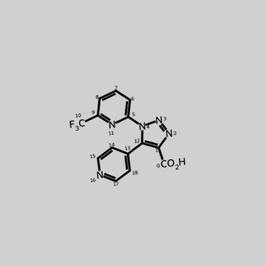 O=C(O)c1nnn(-c2cccc(C(F)(F)F)n2)c1-c1ccncc1